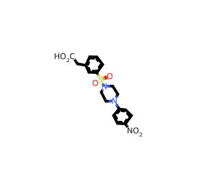 O=C(O)Cc1cccc(S(=O)(=O)N2CCN(c3ccc([N+](=O)[O-])cc3)CC2)c1